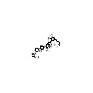 CC(=N)NC[C@@H]1CCC[C@@H](c2ccc(-n3cc4cc(-c5cc(CCC[C@H](C)N)cc(Cl)c5F)[nH]c4nc3=O)cc2)N1